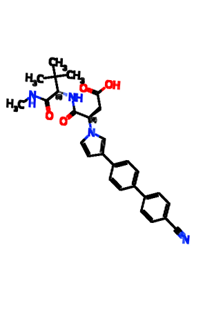 CNC(=O)[C@@H](NC(=O)[C@@H](CC(=O)O)n1ccc(-c2ccc(-c3ccc(C#N)cc3)cc2)c1)C(C)(C)C